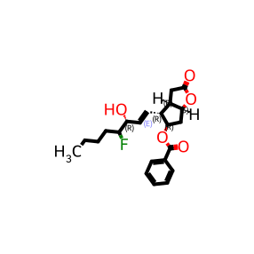 CCCCC(F)[C@H](O)/C=C/[C@@H]1[C@H]2CC(=O)O[C@H]2C[C@H]1OC(=O)c1ccccc1